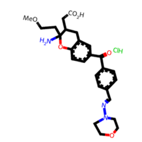 COCCC1(N)Oc2ccc(C(=O)c3ccc(C=NN4CCOCC4)cc3)cc2CC1CC(=O)O.Cl